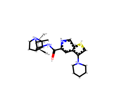 C[C@H]1[C@H](NC(=O)c2cc3c(N4CCCCC4)csc3cn2)C2CCN1CC2